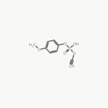 C#COP(=O)(O)Oc1ccc(OC)cc1